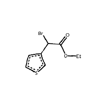 CCOC(=O)C(Br)c1ccsc1